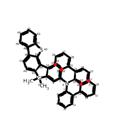 C[Si]1(C)c2cc(N(c3ccccc3-c3ccccc3)c3ccccc3-c3ccccc3)ccc2-c2c1ccc1c2sc2ccccc21